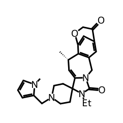 CCN1C(=O)N2Cc3cc4cc(c3[C@@H](C)C=C2C12CCN(Cc1cccn1C)CC2)OCC4=O